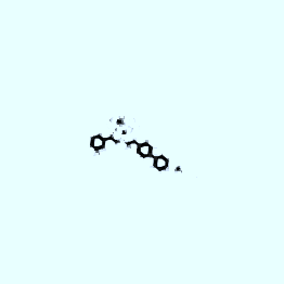 CC(=O)Oc1ccc(-c2ccc(C[C@@H](C)N(C[C@H](O)c3cccc(Cl)c3)C(=O)OC(C)(C)C)cc2)cc1